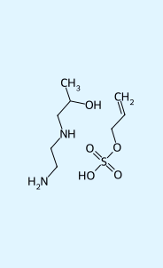 C=CCOS(=O)(=O)O.CC(O)CNCCN